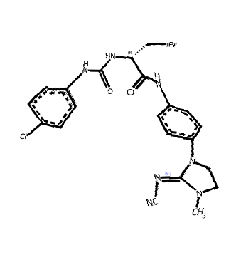 CC(C)C[C@@H](NC(=O)Nc1ccc(Cl)cc1)C(=O)Nc1ccc(N2CCN(C)/C2=N\C#N)cc1